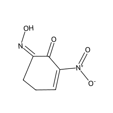 O=C1C([N+](=O)[O-])=CCCC1=NO